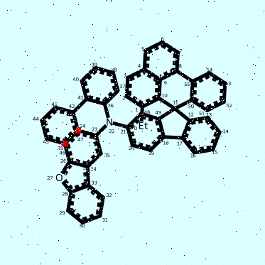 CCc1ccc2cccc3c2c1C1(c2ccccc2-c2ccc(N(c4ccc5oc6ccccc6c5c4)c4ccccc4-c4ccccc4)cc21)c1ccccc1-3